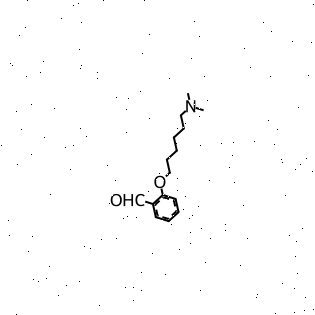 CN(C)CCCCCCOc1ccccc1C=O